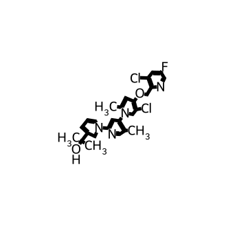 CC1=CC(OCc2ncc(F)cc2Cl)=C(Cl)CN1c1cc(N2C=CC=C(C(C)(C)O)C2)ncc1C